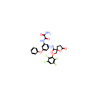 NC(=O)C(=O)Nc1cccc(Oc2ccccc2)c1.NC(=O)C1(COc2c(F)c(F)cc(F)c2F)[CH]CC(=O)O1